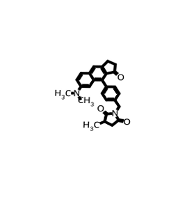 CC1CC(=O)N(Cc2ccc(-c3c4c(cc5ccc(N(C)C)cc35)CCC4=O)cc2)C1=O